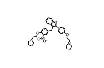 O=[N+]([O-])c1cc(Cc2c(-c3ccc(OCCN4CCCC4)cc3)sc3ccccc23)ccc1OCCN1CCCC1